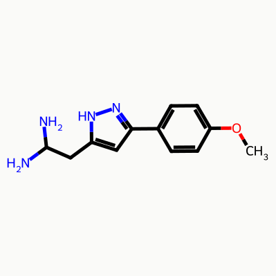 COc1ccc(-c2cc(CC(N)N)[nH]n2)cc1